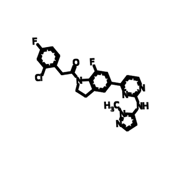 Cn1nccc1Nc1nccc(-c2cc(F)c3c(c2)CCN3C(=O)Cc2ccc(F)cc2Cl)n1